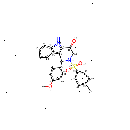 COc1ccc(C2c3c([nH]c4ccccc34)C(=O)CN2S(=O)(=O)c2ccc(C)cc2)cc1